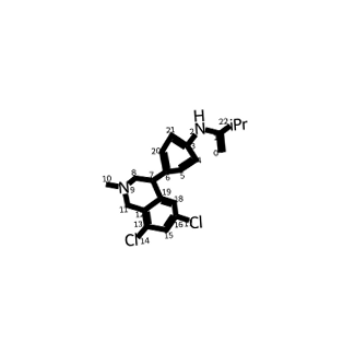 C=C(Nc1ccc(C2CN(C)Cc3c(Cl)cc(Cl)cc32)cc1)C(C)C